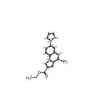 CCOC(=O)c1cc2c(N)nc3cc(-n4cccn4)ccc3n2c1